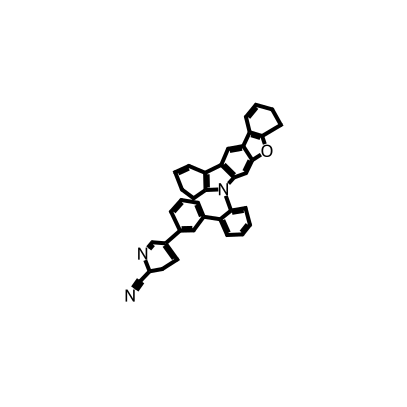 N#CC1CC=C(c2cccc(-c3ccccc3-n3c4c(c5cc6c7c(oc6cc53)CCC=C7)C=CCC4)c2)C=N1